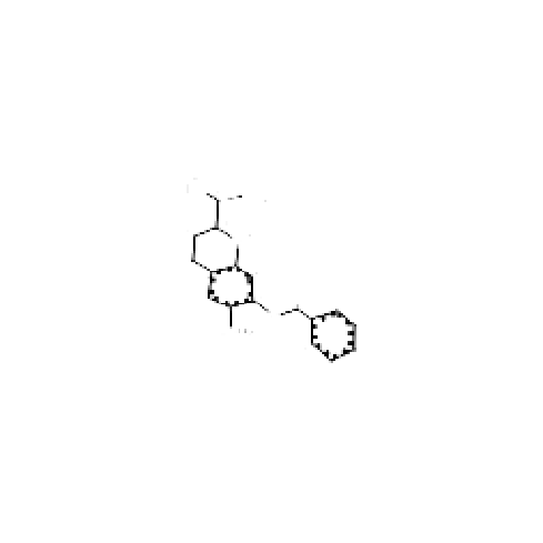 COc1cc2c(cc1OCc1ccccc1)OC([C@@H](C)S(=O)(=O)O)CC2